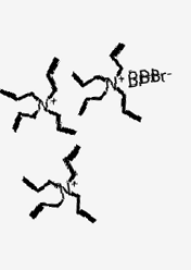 C=CC[N+](CC=C)(CC=C)CC=C.C=CC[N+](CC=C)(CC=C)CC=C.C=CC[N+](CC=C)(CC=C)CC=C.[Br-].[Br-].[Br-]